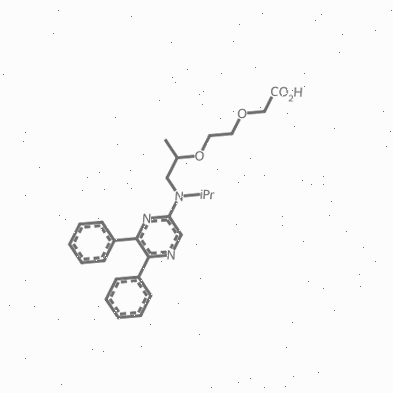 CC(CN(c1cnc(-c2ccccc2)c(-c2ccccc2)n1)C(C)C)OCCOCC(=O)O